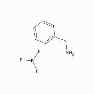 FB(F)F.NCc1ccccc1